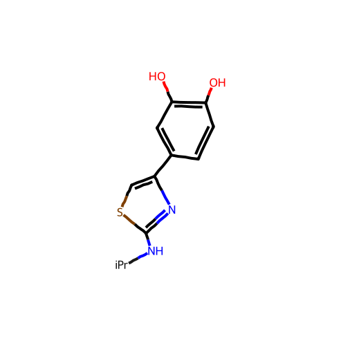 CC(C)Nc1nc(-c2ccc(O)c(O)c2)cs1